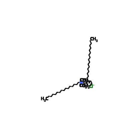 CCCCCCCCCCCCCCCCCCc1ccccc1C(C)(C)[N+](C)(C)CCCCCCCCCCCCCCCC.[Cl-]